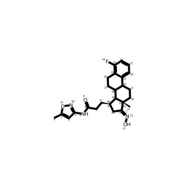 Cc1cc(NC(=O)CC[C@@H]2C/C(=N\O)[C@@]3(C)CCC4c5cccc(F)c5CCC4C23)no1